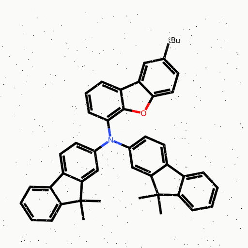 CC(C)(C)c1ccc2oc3c(N(c4ccc5c(c4)C(C)(C)c4ccccc4-5)c4ccc5c(c4)C(C)(C)c4ccccc4-5)cccc3c2c1